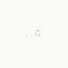 CCc1ccc2c(c1)OC(CC(N)=O)C2